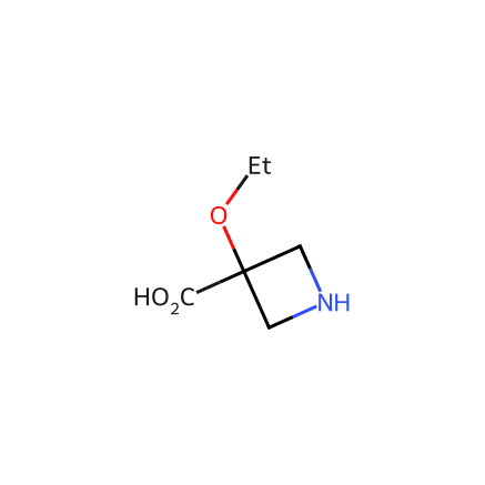 CCOC1(C(=O)O)CNC1